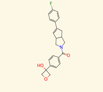 O=C(c1ccc(C2(O)COC2)cc1)N1CC2C=C(c3ccc(F)cc3)CC2C1